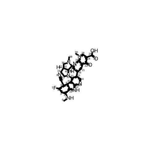 CNc1cc(F)c(C#N)c2c1[nH]c1ncc(-c3cnc4c(c3)c(=O)c(C(=O)O)cn4C)c(N3CC[C@H]4CN(C)C[C@H]43)c12